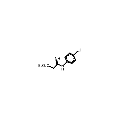 CCOC(=O)CC(=N)Nc1ccc(Cl)cc1